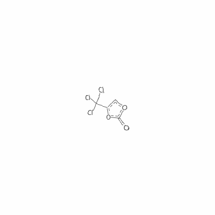 O=c1occ(C(Cl)(Cl)Cl)o1